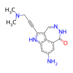 CN(C)CC#Cc1[nH]c2cc(N)cc3c2c1C=NNC3=O